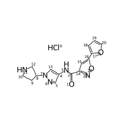 Cl.O=C(Nc1cnn(C2CCNC2)c1)c1cc(-c2ccco2)on1